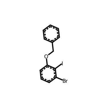 Brc1cccc(OCc2ccccc2)c1I